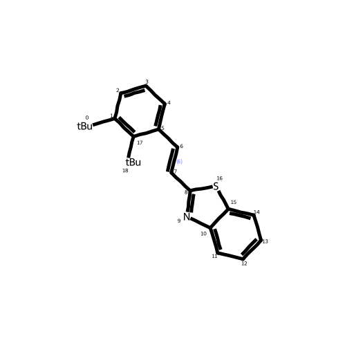 CC(C)(C)c1cccc(/C=C/c2nc3ccccc3s2)c1C(C)(C)C